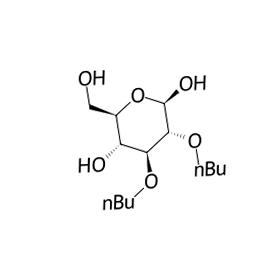 CCCCO[C@@H]1[C@@H](OCCCC)[C@H](O)[C@@H](CO)O[C@H]1O